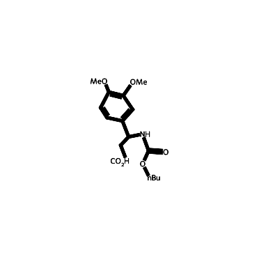 CCCCOC(=O)NC(CC(=O)O)c1ccc(OC)c(OC)c1